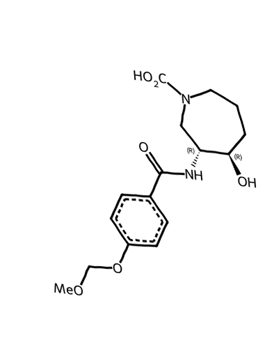 COCOc1ccc(C(=O)N[C@@H]2CN(C(=O)O)CCC[C@H]2O)cc1